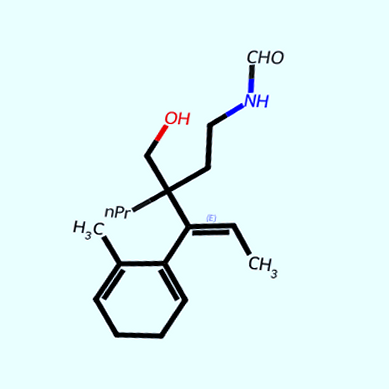 C/C=C(\C1=CCCC=C1C)C(CO)(CCC)CCNC=O